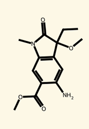 CCC1(OC)C(=O)N(C)c2cc(C(=O)OC)c(N)cc21